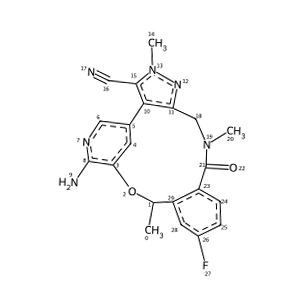 CC1Oc2cc(cnc2N)-c2c(nn(C)c2C#N)CN(C)C(=O)c2ccc(F)cc21